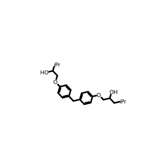 CC(C)CC(O)COc1ccc(Cc2ccc(OCC(O)C(C)C)cc2)cc1